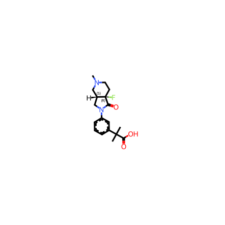 CN1CC[C@]2(F)C(=O)N(c3cccc(C(C)(C)C(=O)O)c3)C[C@@H]2C1